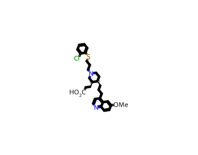 COc1ccc2nccc(CCC[C@@H]3CCN(CCCSc4ccccc4Cl)C[C@@H]3CCC(=O)O)c2c1